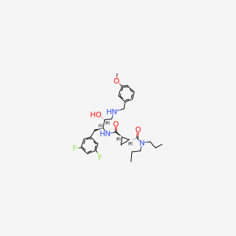 CCCN(CCC)C(=O)[C@@H]1C[C@H]1C(=O)N[C@@H](Cc1cc(F)cc(F)c1)[C@H](O)CNCc1cccc(OC)c1